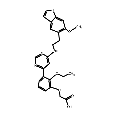 CCOc1c(OCC(=O)O)cccc1-c1cc(NCCc2cc3ccoc3cc2OC)ncn1